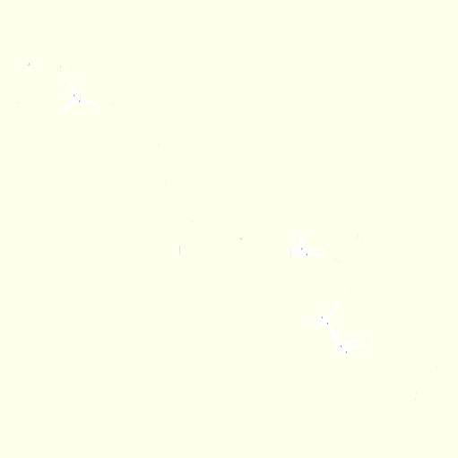 Cn1nc(C2CC2)cc1C(=O)NCc1ccc(OCCCN2CCCO2)c(Cl)c1